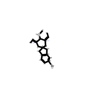 C/C=C1/CC2(C/C(=C\C)C1OC)Cc1ccc(Br)cc1C2